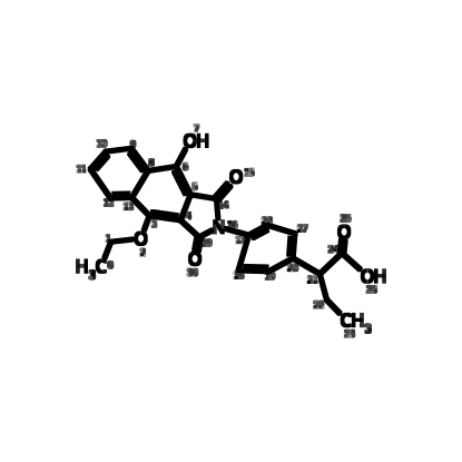 CCOc1c2c(c(O)c3ccccc13)C(=O)N(c1ccc(C(CC)C(=O)O)cc1)C2=O